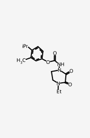 CCN1CCN(NC(=O)Oc2ccc(C(C)C)c(C)c2)C(=O)C1=O